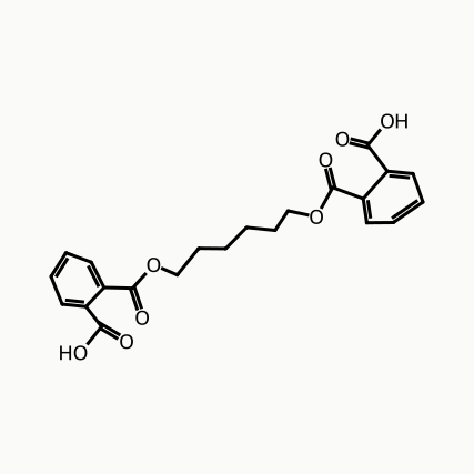 O=C(O)c1ccccc1C(=O)OCCCCCCOC(=O)c1ccccc1C(=O)O